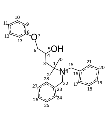 CC(C)(CC(O)COc1ccccc1)N(Cc1ccccc1)Cc1ccccc1